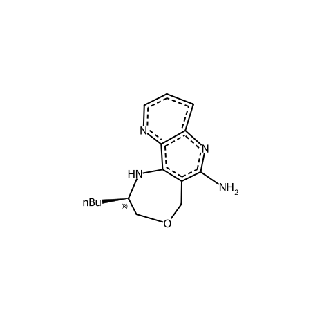 CCCC[C@@H]1COCc2c(N)nc3cccnc3c2N1